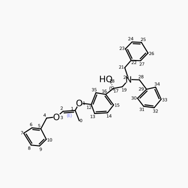 C/C(=C\OCc1ccccc1)Oc1cccc([C@H](O)CN(Cc2ccccc2)Cc2ccccc2)c1